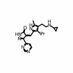 Cc1[nH]c(C=C2C(=O)NN=C2c2ccncn2)c(C(C)C)c1CCNC1CC1